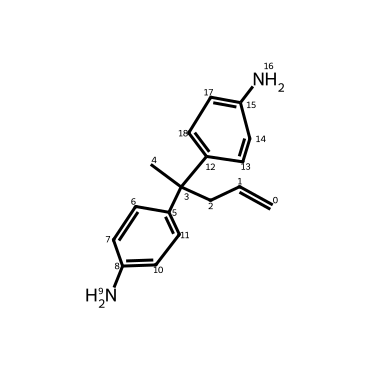 C=CCC(C)(c1ccc(N)cc1)c1ccc(N)cc1